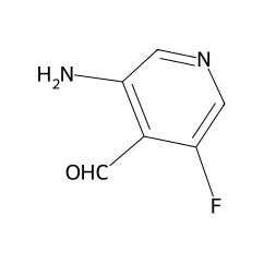 Nc1cncc(F)c1C=O